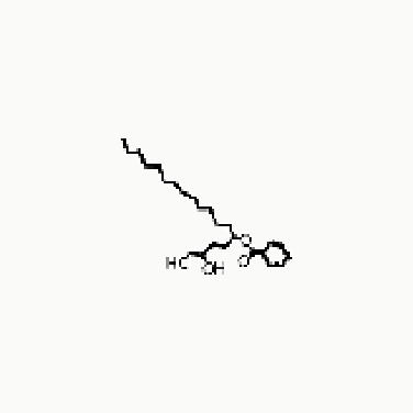 CCCCCCCCCCCCCC(CCC(O)CO)OC(=O)c1ccccc1